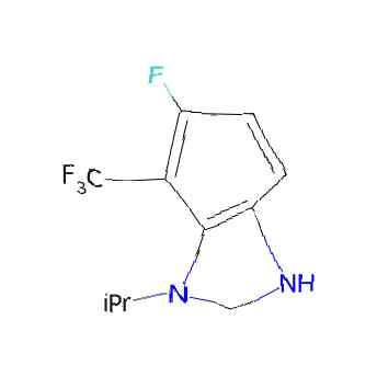 CC(C)N1CNc2ccc(F)c(C(F)(F)F)c21